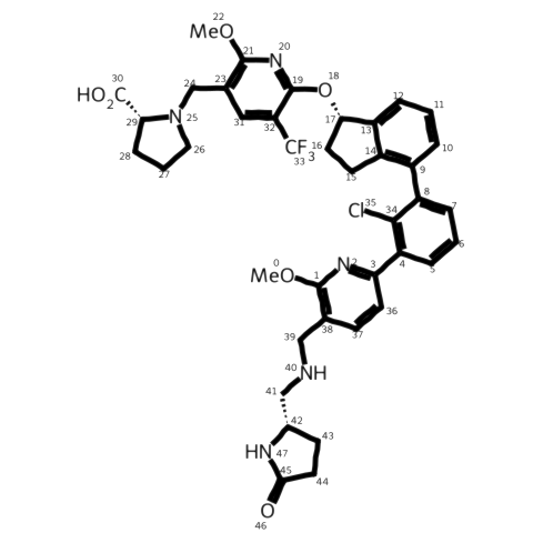 COc1nc(-c2cccc(-c3cccc4c3CC[C@@H]4Oc3nc(OC)c(CN4CCC[C@@H]4C(=O)O)cc3C(F)(F)F)c2Cl)ccc1CNC[C@@H]1CCC(=O)N1